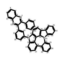 c1ccc(-c2nc3ccccc3nc2-c2cccc(-n3c4cccc5c6ccccc6n6c7ccccc7c7ccc3c(c54)c76)c2)cc1